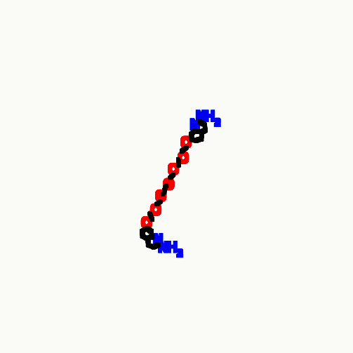 Nc1ccc2ccc(OCCOCCOCCOCCOCCOCCOc3ccc4ccc(N)nc4c3)cc2n1